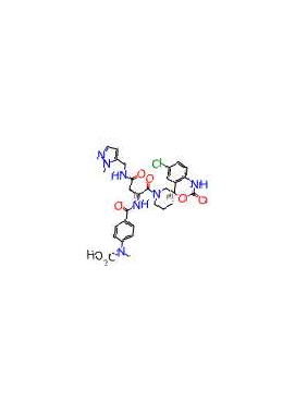 CN(C(=O)O)c1ccc(C(=O)N[C@@H](CC(=O)NCc2ccnn2C)C(=O)N2CCC[C@@]3(C2)OC(=O)Nc2ccc(Cl)cc23)cc1